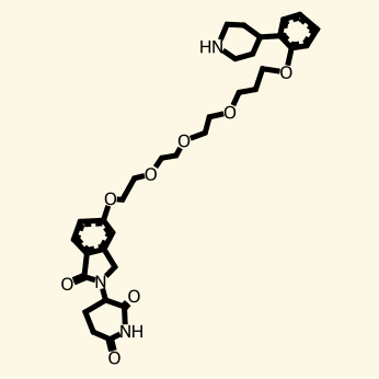 O=C1CCC(N2Cc3cc(OCCOCCOCCOCCCOc4ccccc4C4CCNCC4)ccc3C2=O)C(=O)N1